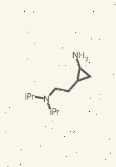 CC(C)N(CCC1CC1N)C(C)C